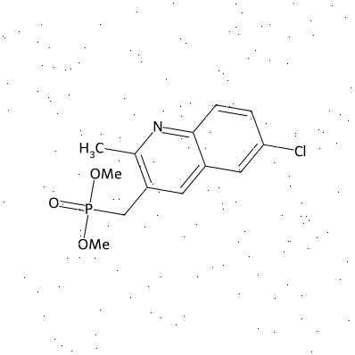 COP(=O)(Cc1cc2cc(Cl)ccc2nc1C)OC